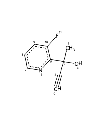 C#CC(C)(O)c1ncccc1F